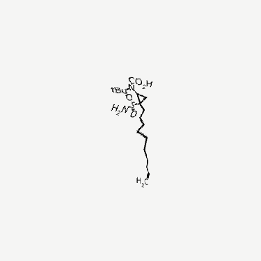 C=CCCCCCCCCC1(S(N)(=O)=O)CC1N(C(=O)O)C(C)(C)C